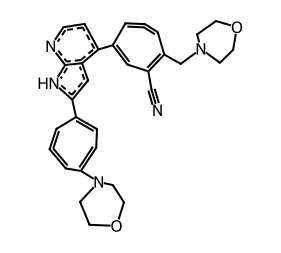 N#CC1=C(CN2CCOCC2)C=C=CC(c2ccnc3[nH]c(C4=CC=C(N5CCOCC5)C=C=C4)cc23)=C1